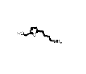 NCCCCc1ccc(CO)o1